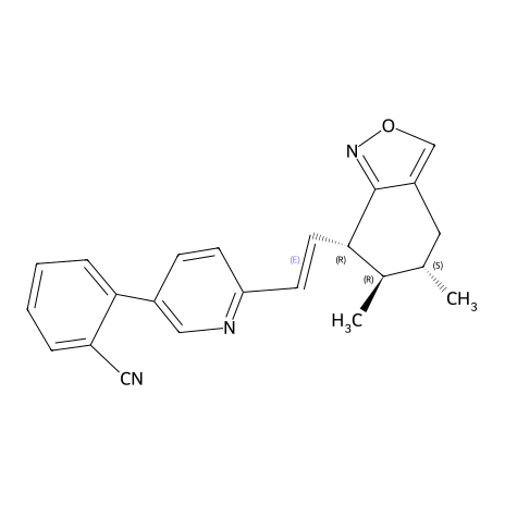 C[C@H]1[C@H](/C=C/c2ccc(-c3ccccc3C#N)cn2)c2nocc2C[C@@H]1C